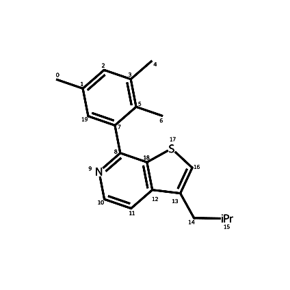 Cc1cc(C)c(C)c(-c2nccc3c(CC(C)C)csc23)c1